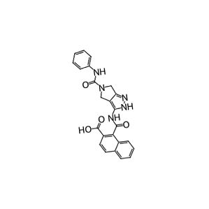 O=C(O)c1ccc2ccccc2c1C(=O)Nc1[nH]nc2c1CN(C(=O)Nc1ccccc1)C2